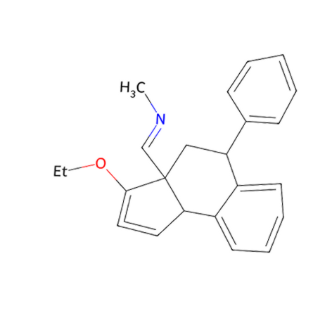 CCOC1=C=CC2c3ccccc3C(c3ccccc3)CC12/C=N/C